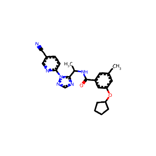 Cc1cc(OC2CCCC2)cc(C(=O)NC(C)c2ncnn2-c2ccc(C#N)cn2)c1